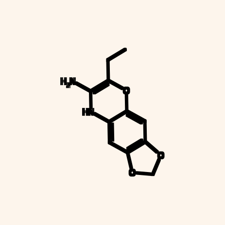 CCC1=C(N)Nc2cc3c(cc2O1)OCO3